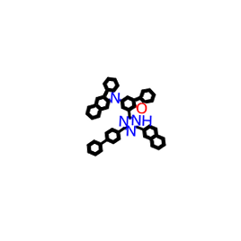 c1ccc(-c2ccc(C3=NC(c4ccc5ccccc5c4)NC(c4cc(-n5c6ccccc6c6cc7ccccc7cc65)cc5c4oc4ccccc45)=N3)cc2)cc1